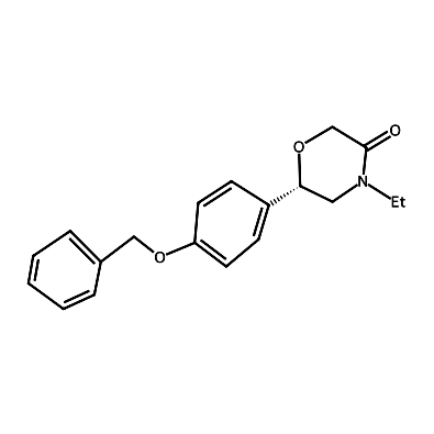 CCN1C[C@H](c2ccc(OCc3ccccc3)cc2)OCC1=O